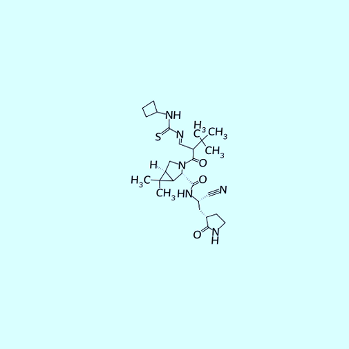 CC(C)(C)C(/C=N/C(=S)NC1CCC1)C(=O)N1C[C@H]2C([C@H]1C(=O)N[C@H](C#N)C[C@@H]1CCNC1=O)C2(C)C